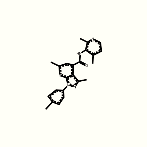 Cc1ccc(-n2nc(C)c3c(C(=O)Nc4c(C)ccnc4C)cc(C)nc32)cc1